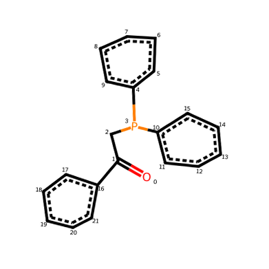 O=C(CP(c1ccccc1)c1ccccc1)c1ccccc1